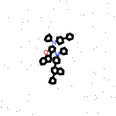 c1ccc(-c2ccc(N(c3ccccc3)c3cc(N(c4ccccc4)c4ccc(-c5ccc(-c6ccccc6)c6ccccc56)cc4)c4c(c3)oc3c5ccccc5ccc34)cc2)cc1